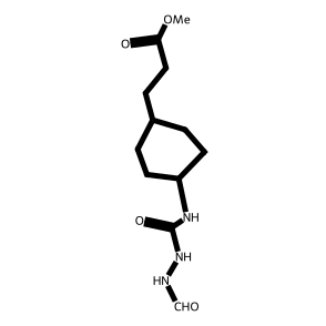 COC(=O)CCC1CCC(NC(=O)NNC=O)CC1